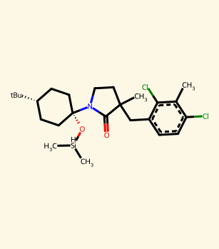 Cc1c(Cl)ccc(CC2(C)CCN([C@]3(O[SiH](C)C)CC[C@@H](C(C)(C)C)CC3)C2=O)c1Cl